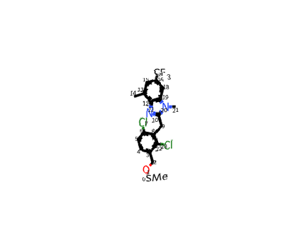 CSOCc1ccc(Cl)c(Cc2nc3c(C)cc(C(F)(F)F)cc3n2C)c1Cl